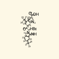 Br.CN(C)c1cc(C(=O)CN2Cc3ccc(C(C)(C)C)cc3C2=N)cc(C(C)(C)C)c1OCC(=O)O